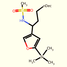 CCCCCCCCCCCCC(NS(C)(=O)=O)c1coc([Si](C)(C)C)c1